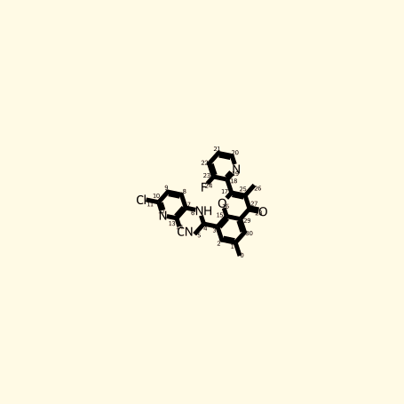 Cc1cc(C(C)Nc2ccc(Cl)nc2C#N)c2oc(-c3ncccc3F)c(C)c(=O)c2c1